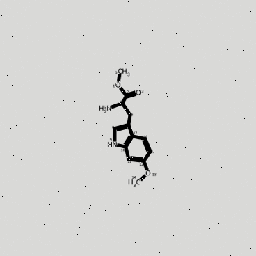 COC(=O)C(N)Cc1c[nH]c2cc(OC)ccc12